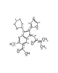 Cc1cc2c(C3CCCCC3)c(-c3cnco3)n(CC(=O)N(C)C)c2cc1C(=O)O